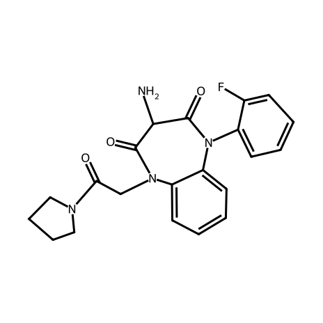 NC1C(=O)N(CC(=O)N2CCCC2)c2ccccc2N(c2ccccc2F)C1=O